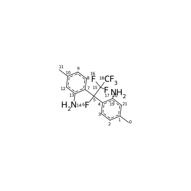 Cc1ccc(C(F)(c2ccc(C)cc2N)C(F)(F)C(F)(F)F)c(N)c1